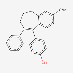 COc1ccc2c(c1)CCCC(c1ccccc1)=C2c1ccc(O)cc1